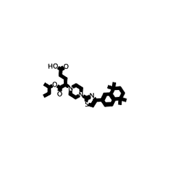 CCC(C)OC(=O)C(CCC(=O)O)N1CCN(c2nc(-c3ccc4c(c3)C(C)(C)CCC4(C)C)cs2)CC1